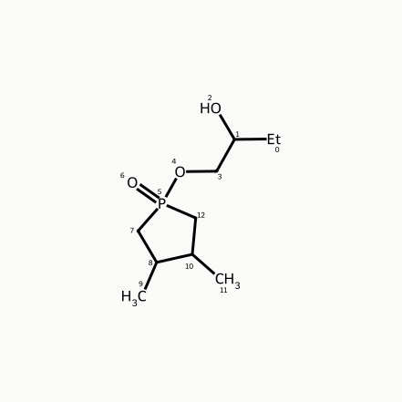 CCC(O)COP1(=O)CC(C)C(C)C1